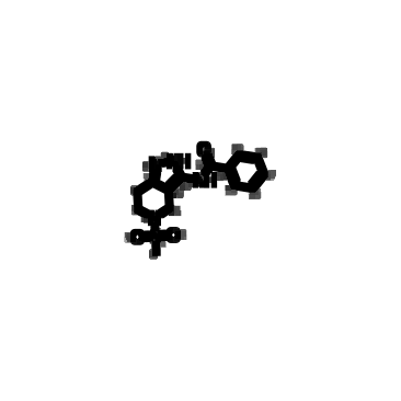 CS(=O)(=O)N1CCc2n[nH]c(NC(=O)c3ccccc3)c2C1